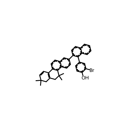 CC1(C)C=CC2=C(C1)CC(C)(C)c1c2ccc2cc(-c3ccc4ccccc4c3-c3ccc(O)c(Br)c3)ccc12